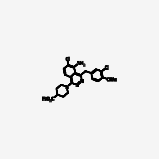 CCOC(=O)C1CCN(c2nnc(Cc3ccc(OC)c(Cl)c3)c3c(N)c(Cl)ccc23)CC1